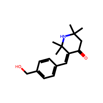 CC1(C)CC(=O)C(=Cc2ccc(CO)cc2)C(C)(C)N1